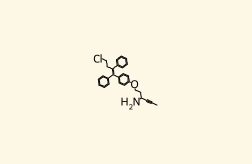 CC#CC(N)CCOc1ccc(/C(=C(/CCCl)c2ccccc2)c2ccccc2)cc1